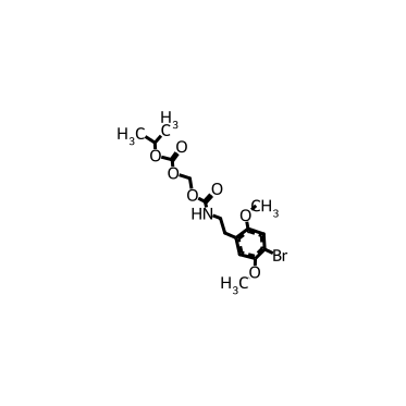 COc1cc(CCNC(=O)OCOC(=O)OC(C)C)c(OC)cc1Br